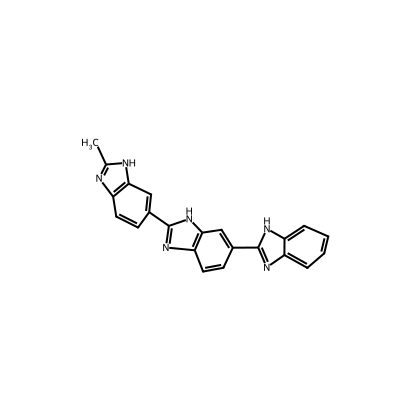 Cc1nc2ccc(-c3nc4ccc(-c5nc6ccccc6[nH]5)cc4[nH]3)cc2[nH]1